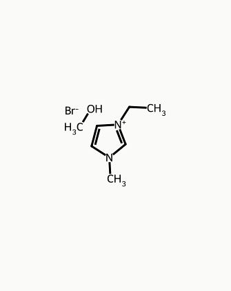 CC[n+]1ccn(C)c1.CO.[Br-]